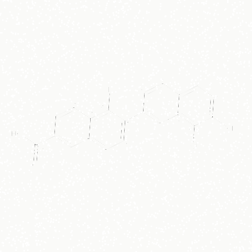 Cc1ccc2ccc(-c3ccc4cc(C(=O)O)ccc4c3F)cc2c1C